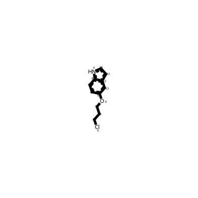 ClCCCOc1ccc2[nH]ccc2c1